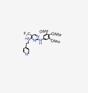 COc1cc(Nc2ncc(C(F)(F)F)c(NCCc3ccncc3)n2)cc(OC)c1OC